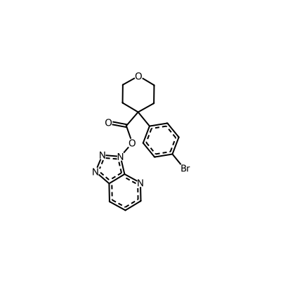 O=C(On1nnc2cccnc21)C1(c2ccc(Br)cc2)CCOCC1